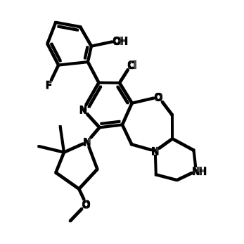 COC1CN(c2nc(-c3c(O)cccc3F)c(Cl)c3c2CN2CCNCC2CO3)C(C)(C)C1